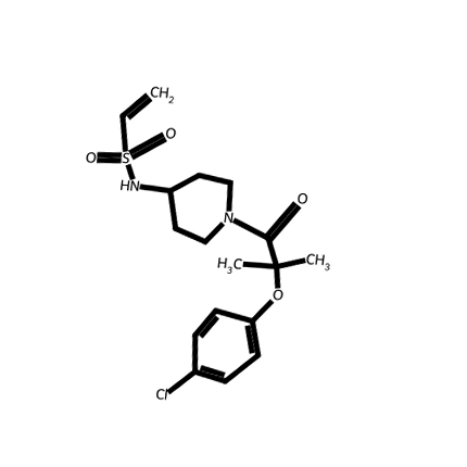 C=CS(=O)(=O)NC1CCN(C(=O)C(C)(C)Oc2ccc(Cl)cc2)CC1